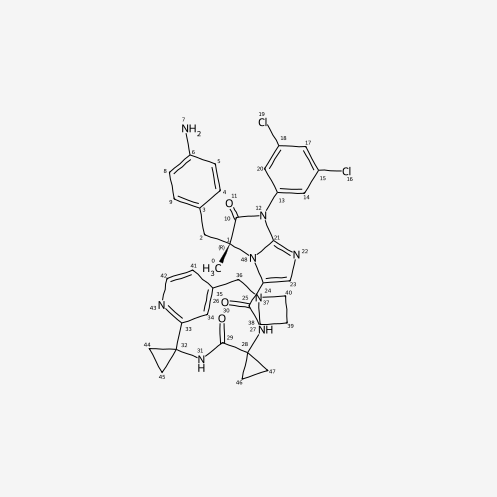 C[C@@]1(Cc2ccc(N)cc2)C(=O)N(c2cc(Cl)cc(Cl)c2)c2ncc(C(=O)NC3(C(=O)NC4(c5cc(CN6CCC6)ccn5)CC4)CC3)n21